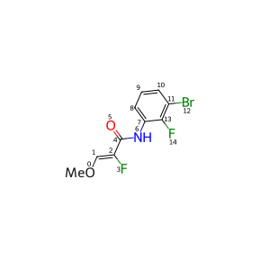 COC=C(F)C(=O)Nc1cccc(Br)c1F